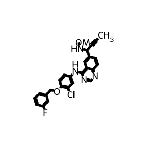 CC#CC(NOC)c1ccc2ncnc(Nc3ccc(OCc4cccc(F)c4)c(Cl)c3)c2c1